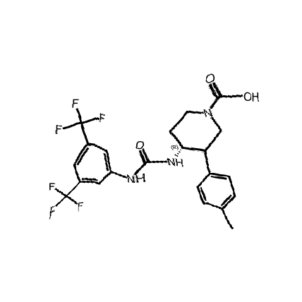 Cc1ccc(C2CN(C(=O)O)CC[C@H]2NC(=O)Nc2cc(C(F)(F)F)cc(C(F)(F)F)c2)cc1